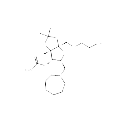 CCCCCCCCCCCCOC[C@@]12O[C@@H](CN3CCCCCC3)[C@@H](OC(=O)NC)[C@@H]1OC(C)(C)O2